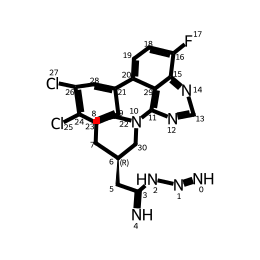 N=NNC(=N)C[C@H]1CCCN(c2ncnc3c(F)ccc(-c4ccc(Cl)c(Cl)c4)c23)C1